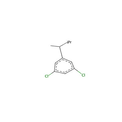 CC(C)C(C)c1cc(Cl)cc(Cl)c1